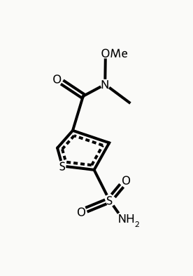 CON(C)C(=O)c1csc(S(N)(=O)=O)c1